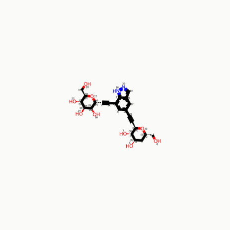 OC[C@@H]1C[C@H](O)[C@H](O)[C@@H](C#Cc2cc(C#C[C@H]3O[C@H](CO)[C@@H](O)[C@H](O)[C@@H]3O)c3[nH]ncc3c2)O1